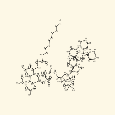 CCCCCCCCCCCC(=O)OC[C@H](F)C1OC(OP(=O)(O)OP(O)(=S)OC[C@H]2O[C@@H](n3cnc4c(NC(c5ccccc5)(c5ccccc5)c5ccccc5)ncnc43)[C@@H]3OC(C)(C)O[C@@H]32)C(OC(C)=O)C(OC(C)=O)C1OC(C)=O